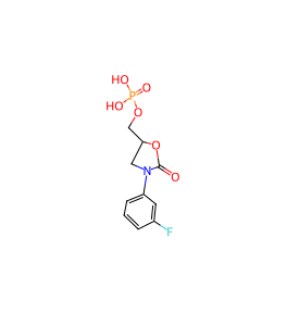 O=C1OC(COP(=O)(O)O)CN1c1cccc(F)c1